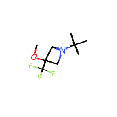 COC1(C(F)(F)F)CN(C(C)(C)C)C1